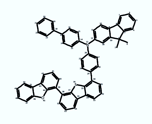 CC1(C)c2ccccc2-c2ccc(N(c3ccc(-c4ccccc4)cc3)c3ccc(-c4cccc5c4sc4c(-c6cccc7c6oc6ccccc67)cccc45)cc3)cc21